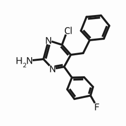 Nc1nc(Cl)c(Cc2ccccc2)c(-c2ccc(F)cc2)n1